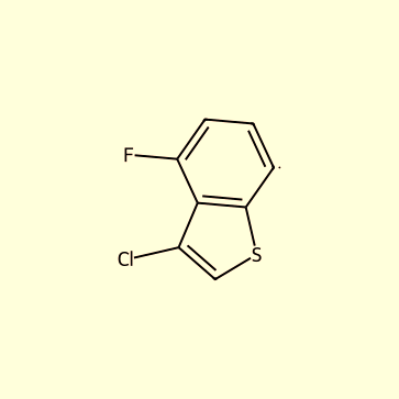 Fc1cc[c]c2scc(Cl)c12